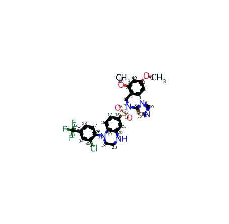 COc1ccc(CN(c2ncns2)S(=O)(=O)c2ccc3c(c2)NCCN3c2ccc(C(F)(F)F)cc2Cl)c(OC)c1